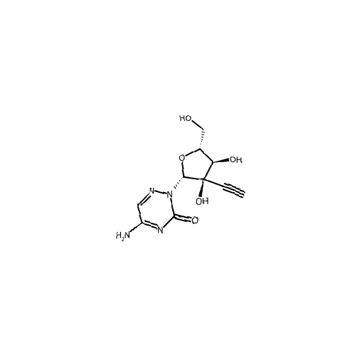 C#C[C@@]1(O)[C@H](O)[C@@H](CO)O[C@H]1n1ncc(N)nc1=O